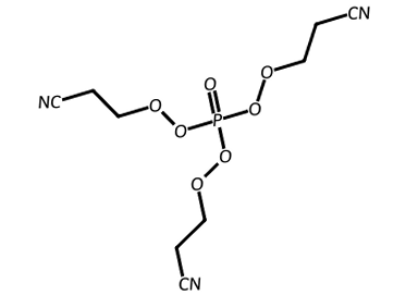 N#CCCOOP(=O)(OOCCC#N)OOCCC#N